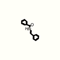 O=C(NC=Cc1ccccc1)c1ccccc1